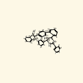 c1ccc(C2=NC(c3ccccc3-c3ccc(C4Nc5ccccc5N4)cc3)NC(c3ccccc3)N2)cc1